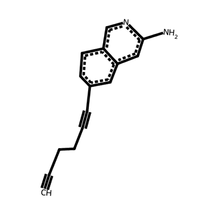 C#CCCC#Cc1ccc2cnc(N)cc2c1